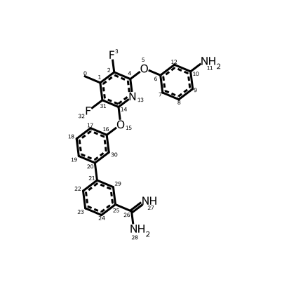 Cc1c(F)c(Oc2cccc(N)c2)nc(Oc2cccc(-c3cccc(C(=N)N)c3)c2)c1F